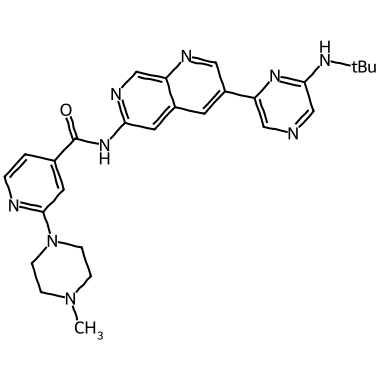 CN1CCN(c2cc(C(=O)Nc3cc4cc(-c5cncc(NC(C)(C)C)n5)cnc4cn3)ccn2)CC1